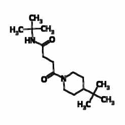 CC(C)(C)NC(=O)CCC(=O)N1CCC(C(C)(C)C)CC1